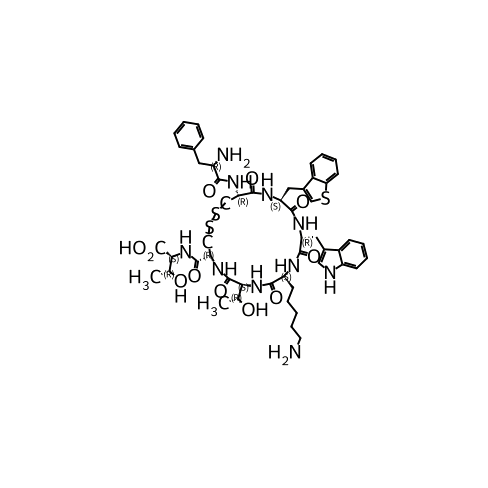 C[C@@H](O)[C@H](NC(=O)[C@@H]1CSSC[C@H](NC(=O)[C@H](N)Cc2ccccc2)C(=O)N[C@@H](Cc2csc3ccccc23)C(=O)N[C@H](Cc2c[nH]c3ccccc23)C(=O)N[C@@H](CCCCCN)C(=O)N[C@@H]([C@@H](C)O)C(=O)N1)C(=O)O